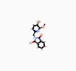 COc1nc(CN2C(=O)c3ccccc3C2=O)ccc1Br